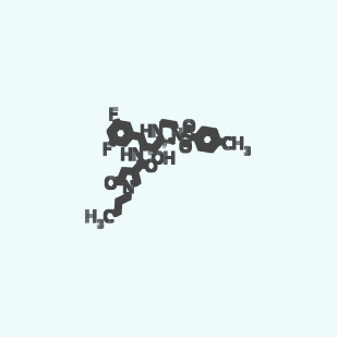 CCCCN1CC(C(=O)NC(Cc2cc(F)cc(F)c2)[C@H](O)[C@H]2CN(S(=O)(=O)c3ccc(C)cc3)CCN2)CC1=O